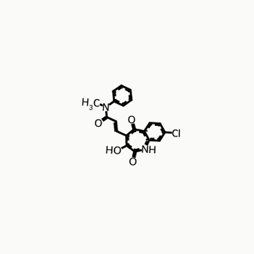 CN(C(=O)C=Cc1c(O)c(=O)[nH]c2cc(Cl)ccc2c1=O)c1ccccc1